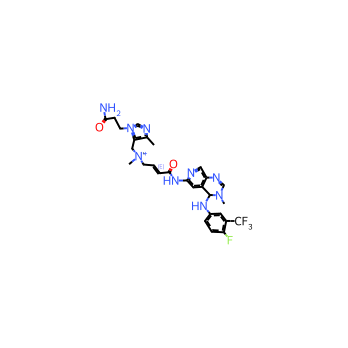 Cc1ncn(CCC(N)=O)c1C[N+](C)(C)C/C=C/C(=O)Nc1cc2c(cn1)N=CN(C)C2Nc1ccc(F)c(C(F)(F)F)c1